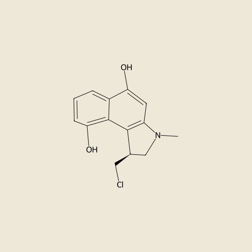 CN1C[C@@H](CCl)c2c1cc(O)c1cccc(O)c21